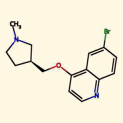 CN1CC[C@H](COc2ccnc3ccc(Br)cc23)C1